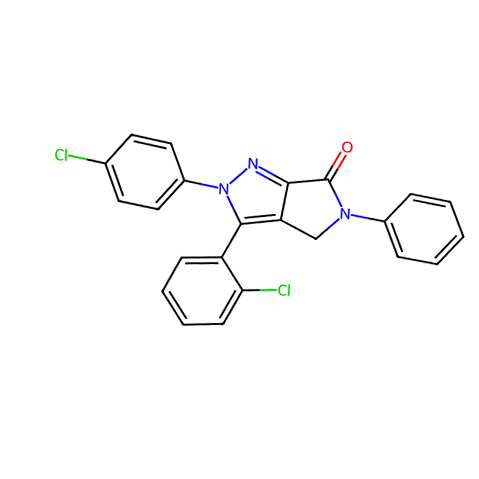 O=C1c2nn(-c3ccc(Cl)cc3)c(-c3ccccc3Cl)c2CN1c1ccccc1